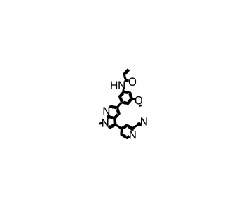 C=CC(=O)Nc1cc(OC)cc(-c2cnc3c(c2)c(-c2ccnc(C#N)c2)cn3C)c1